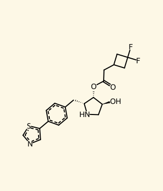 O=C(CC1CC(F)(F)C1)O[C@@H]1[C@@H](O)CN[C@@H]1Cc1ccc(-c2cncs2)cc1